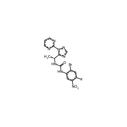 C[C@H](NC(=O)Nc1cc([N+](=O)[O-])c(F)cc1Br)c1ncnn1-c1ncccn1